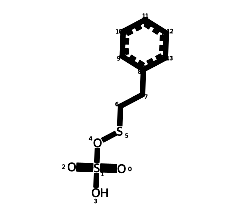 O=S(=O)(O)OSCCc1ccccc1